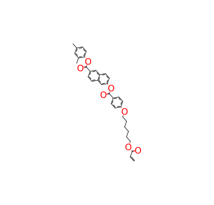 C=CC(=O)OCCCCCCOc1ccc(C(=O)Oc2ccc3cc(C(=O)Oc4ccc(C)cc4C)ccc3c2)cc1